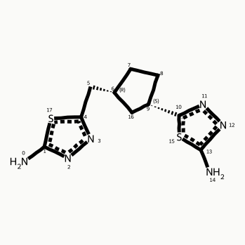 Nc1nnc(C[C@@H]2CC[C@H](c3nnc(N)s3)C2)s1